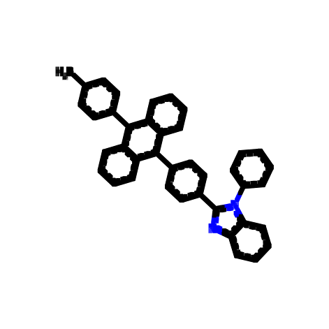 Bc1ccc(-c2c3ccccc3c(-c3ccc(-c4nc5ccccc5n4-c4ccccc4)cc3)c3ccccc23)cc1